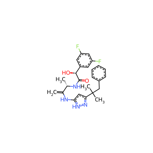 C=C(Nc1cc(C(C)(C)Cc2ccccc2)n[nH]1)[C@H](C)NC(=O)[C@@H](O)c1cc(F)cc(F)c1